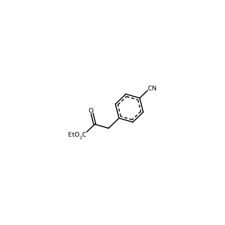 CCOC(=O)C(=O)Cc1ccc(C#N)cc1